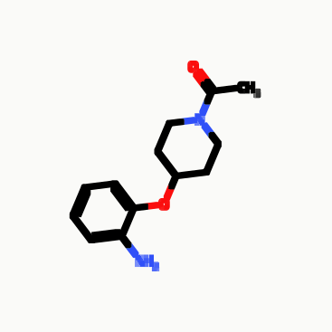 CC(=O)N1CCC(Oc2ccccc2N)CC1